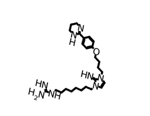 N=C(N)NCCCCCCCCn1ccn(CCCCOc2ccc(C3=NCCCN3)cc2)c1=N